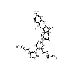 Cc1nn([C@H](C)c2ccc(Cl)cc2F)c2nc(N3CCC(N4CCC[C@H]4CCC(=O)O)[C@H](COC(=O)C(F)(F)F)C3)cnc12